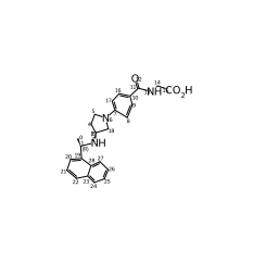 C[C@@H](N[C@H]1CCN(c2ccc(C(=O)NCC(=O)O)cc2)C1)c1cccc2ccccc12